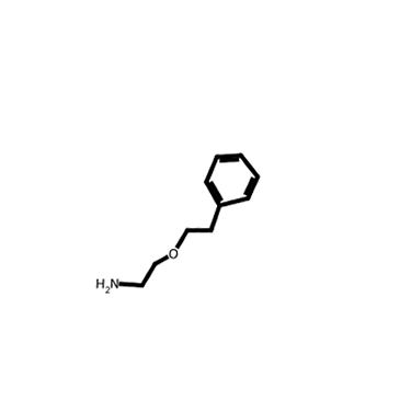 NCCOCCc1ccccc1